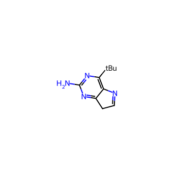 CC(C)(C)c1nc(N)nc2c1N=CC2